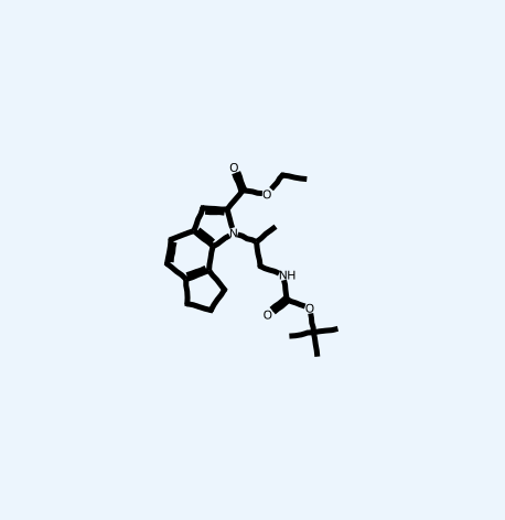 CCOC(=O)c1cc2ccc3c(c2n1C(C)CNC(=O)OC(C)(C)C)CCC3